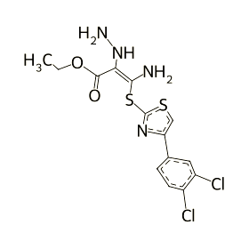 CCOC(=O)/C(NN)=C(/N)Sc1nc(-c2ccc(Cl)c(Cl)c2)cs1